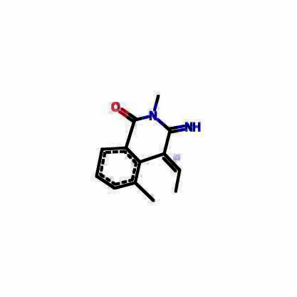 C/C=C1/C(=N)N(C)C(=O)c2cccc(C)c21